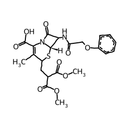 COC(=O)C(CC1S[C@H]2C(NC(=O)COc3ccccc3)C(=O)N2C(C(=O)O)=C1C)C(=O)OC